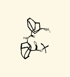 CC(C)(C)OC(=O)C12CC3CC(CC(NC(=O)C45CC6CC(CC(N)(C6)C4)C5)(C3)C1)C2